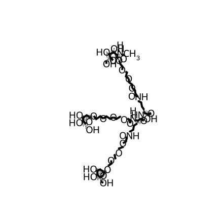 CC(=O)N[C@H]1[C@H](OCCOCCOCCOCC(=O)NCCCC[C@H](NC(=O)[C@H](CCCCNC(=O)COCCOCCOCCO[C@H]2C[C@@H](O)[C@@H](O)[C@@H](CO)O2)NC(=O)COCCOCCOCCO[C@H]2C[C@@H](O)[C@@H](O)[C@@H](CO)O2)C(=O)O)O[C@H](CO)[C@H](O)[C@@H]1O